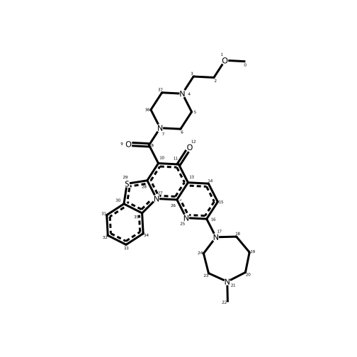 COCCN1CCN(C(=O)c2c(=O)c3ccc(N4CCCN(C)CC4)nc3n3c2sc2ccccc23)CC1